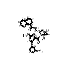 Cc1cccc(-c2sc(N)nc2C(=O)N2[C@H](CNC(=O)c3cccc4cccnc34)C[C@@H]3C[C@@H]32)c1